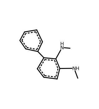 CNc1cccc(-c2ccccc2)c1NC